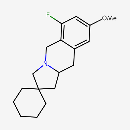 COc1cc(F)c2c(c1)CC1CC3(CCCCC3)CN1C2